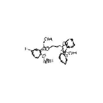 CCCCOc1ccc(F)cc1[C@H](CO)OCCCC(C)(C)[Si](O)(c1ccccc1)c1ccccc1